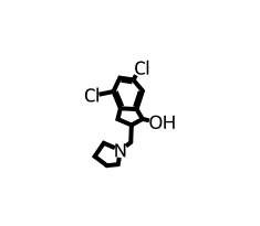 OC1c2cc(Cl)cc(Cl)c2CC1CN1CCCC1